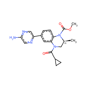 COC(=O)N1c2ccc(-c3cnc(N)cn3)cc2N(C(=O)C2CC2)C[C@@H]1C